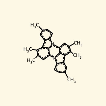 Cc1ccc2c(c1)c1c(C)c(C)cc3c1n2c1cc(C)c(C)c2c4cc(C)ccc4n3c21